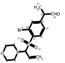 C=CC(N1CCOCC1)S(=O)(=O)c1ccc(C(C)C=O)cc1Br